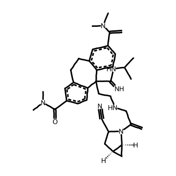 C=C(c1ccc2c(c1)CCc1cc(C(=O)N(C)C)ccc1C2(CCNCC(=C)N1C(C#N)C[C@@H]2C[C@@H]21)C(=N)NC(C)C)N(C)C